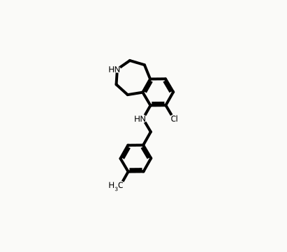 Cc1ccc(CNc2c(Cl)ccc3c2CCNCC3)cc1